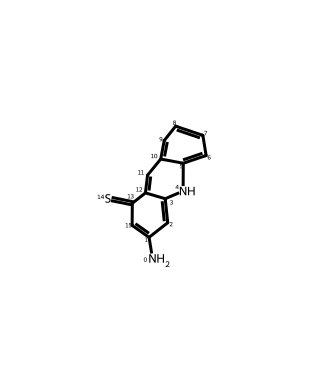 Nc1cc2[nH]c3ccccc3cc-2c(=S)c1